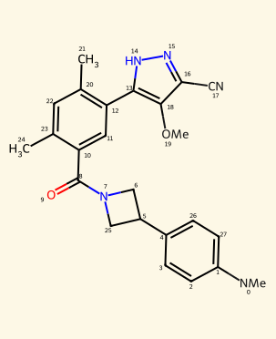 CNc1ccc(C2CN(C(=O)c3cc(-c4[nH]nc(C#N)c4OC)c(C)cc3C)C2)cc1